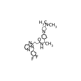 C[C@H](NC(=O)CCc1nc2cccnc2n1Cc1ccc(F)c(F)c1)c1ccc(N2CCC(N(C)C)C2)cc1